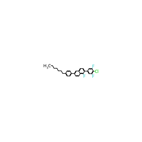 CCCCCCCc1ccc(-c2ccc3c(F)c(-c4cc(F)c(Cl)c(F)c4)ccc3c2)cc1